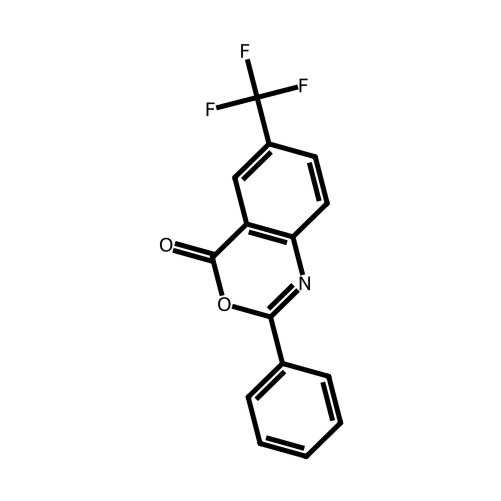 O=c1oc(-c2ccccc2)nc2ccc(C(F)(F)F)cc12